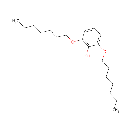 CCCCCCCOc1cccc(OCCCCCCC)c1O